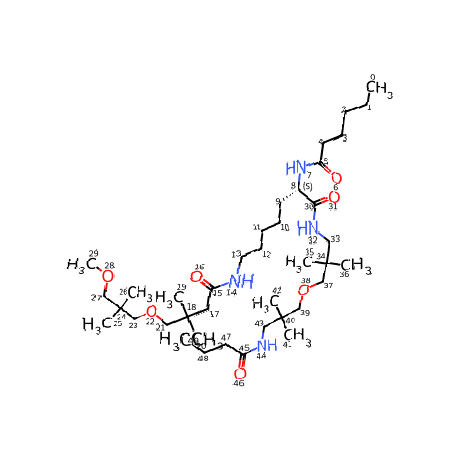 CCCCCC(=O)N[C@@H](CCCCCNC(=O)CC(C)(C)COCC(C)(C)COC)C(=O)NCC(C)(C)COCC(C)(C)CNC(=O)CCC